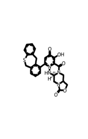 O=C1OCC2CN3C(=O)c4c(O)c(=O)cc(-c5cccc6c5Cc5ccccc5SC6)n4N[C@@H]3CN12